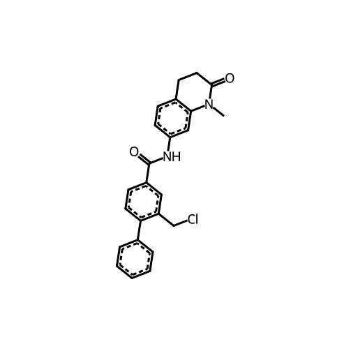 CN1C(=O)CCc2ccc(NC(=O)c3ccc(-c4ccccc4)c(CCl)c3)cc21